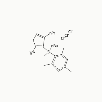 CCCC[Si](C)(C1=[C]([Ti+3])CC=C1CCC)c1c(C)cc(C)cc1C.[Cl-].[Cl-].[Cl-]